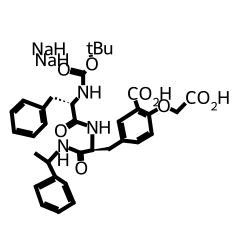 CC(NC(=O)[C@H](Cc1ccc(OCC(=O)O)c(C(=O)O)c1)NC(=O)[C@H](Cc1ccccc1)NC(=O)OC(C)(C)C)c1ccccc1.[NaH].[NaH]